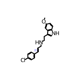 COc1ccc2[nH]cc(CCNC/C=C/c3ccc(Cl)cc3)c2c1